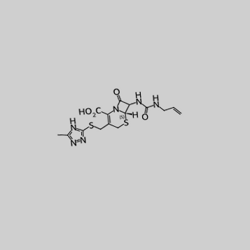 C=CCNC(=O)NC1C(=O)N2C(C(=O)O)=C(CSc3nnc(C)[nH]3)CS[C@@H]12